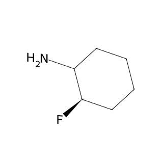 NC1CCCC[C@H]1F